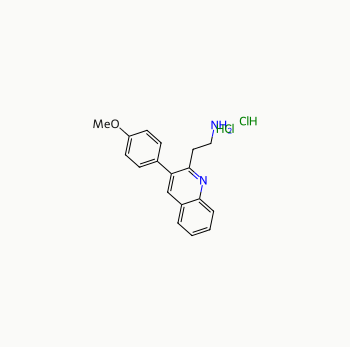 COc1ccc(-c2cc3ccccc3nc2CCN)cc1.Cl.Cl